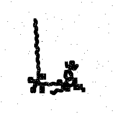 CCCCCCCCCCCCCCCCCNc1c(NCCCCOn2c(CCCC)nc3c(N)nc4cc(P(=O)(CC)CC)ccc4c32)c(=O)c1=O